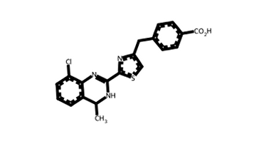 CC1NC(c2nc(Cc3ccc(C(=O)O)cc3)cs2)=Nc2c(Cl)cccc21